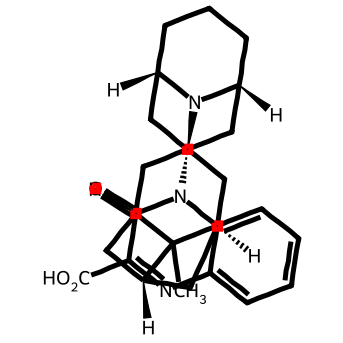 CC12[C@H]3C[C@@H]1C[C@@H](N1[C@@H]4CCC[C@H]1C[C@@H](n1c(=O)c(C(=O)O)nc5ccccc51)C4)C[C@H]2C3